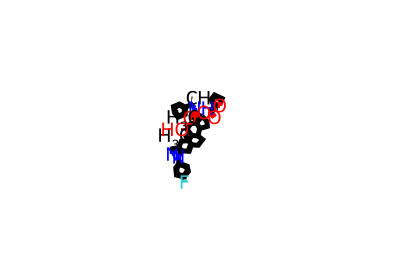 C[C@H](NC(=O)[C@@]1(OC(=O)c2ccco2)CCC2C3CCC4=Cc5c(cnn5-c5ccc(F)cc5)CC4(C)C3[C@@H](O)CC21C)c1ccccc1